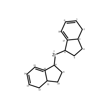 C1=CCC2CC[CH]([Zr][CH]3CCC4CC=CC=C43)C2=C1